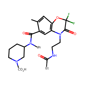 CCC(=O)NCCN1C(=O)C(F)(F)Oc2cc(C)c(C(=O)N(C(C)C)C3CCCN(C(=O)O)C3)cc21